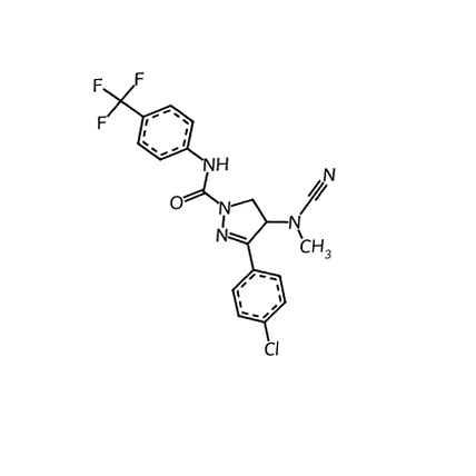 CN(C#N)C1CN(C(=O)Nc2ccc(C(F)(F)F)cc2)N=C1c1ccc(Cl)cc1